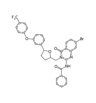 O=C(Nc1nc2cc(Br)ccc2c(=O)n1CC1CCC(c2cccc(Oc3ccc(C(F)(F)F)cc3)c2)O1)c1ccccc1